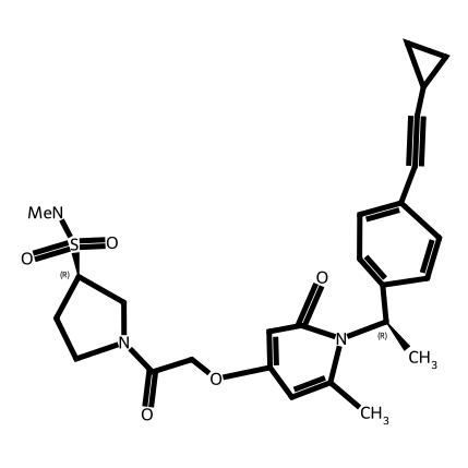 CNS(=O)(=O)[C@@H]1CCN(C(=O)COc2cc(C)n([C@H](C)c3ccc(C#CC4CC4)cc3)c(=O)c2)C1